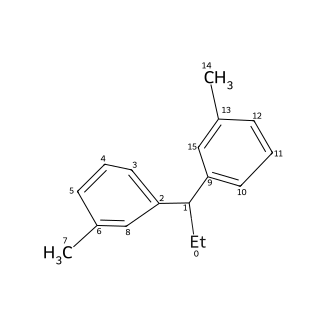 CCC(c1cccc(C)c1)c1cccc(C)c1